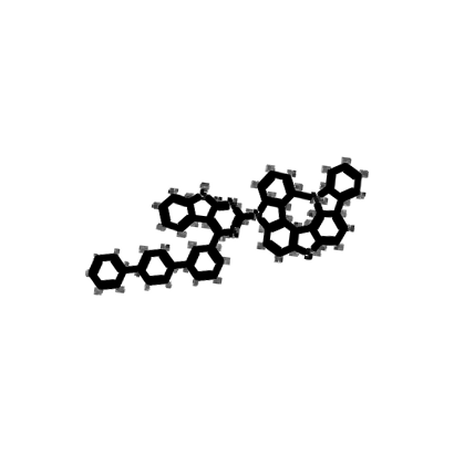 c1ccc(-c2ccc(-c3cccc(-c4nc(-n5c6ccc7sc8ccc9c%10ccccc%10n%10c%11cccc5c%11c6c7c8c9%10)nc5sc6ccccc6c45)c3)cc2)cc1